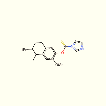 COc1cc2c(cc1OC(=S)n1ccnc1)CCC(C(C)C)C2C